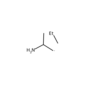 CCC.[CH2]C(C)N